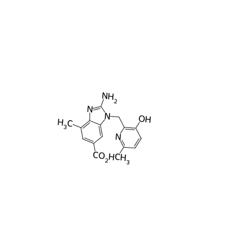 Cc1ccc(O)c(Cn2c(N)nc3c(C)cc(C(=O)O)cc32)n1